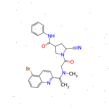 C=C(c1ccc2c(Br)cccc2n1)N(C)CC(=O)N1CC(C(=O)Nc2ccccc2)CC1C#N